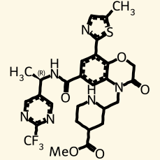 COC(=O)C1CCNC(CN2C(=O)COc3c(-c4ncc(C)s4)cc(C(=O)N[C@H](C)c4cnc(C(F)(F)F)nc4)cc32)C1